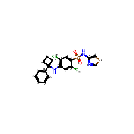 O=S(=O)(Nc1cscn1)c1cc(Cl)c(NC2(c3ccccc3)CCC2)cc1F